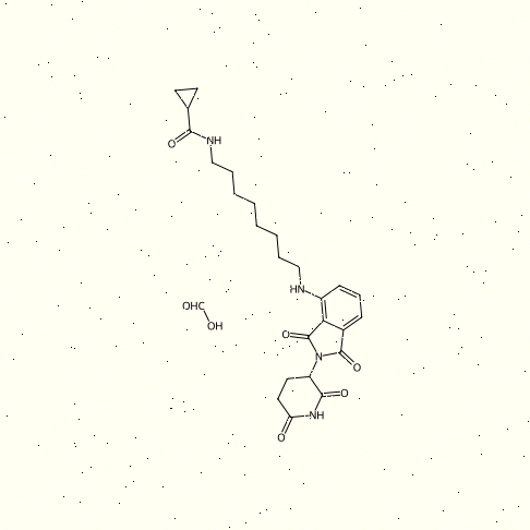 O=C1CCC(N2C(=O)c3cccc(NCCCCCCCCNC(=O)C4CC4)c3C2=O)C(=O)N1.O=CO